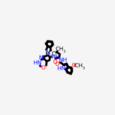 COc1cccc2[nH]c(C(=O)NC(CC(C)C)C(=O)NC(CC3CCNCOC3)C(C#N)N3Cc4ccccc4C3)cc12